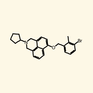 Cc1c(Br)cccc1COc1ccc2c3c(cccc13)CN(C1CCCC1)C2